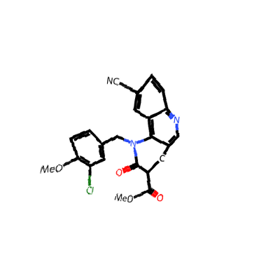 COC(=O)C1Cc2cnc3ccc(C#N)cc3c2N(Cc2ccc(OC)c(Cl)c2)C1=O